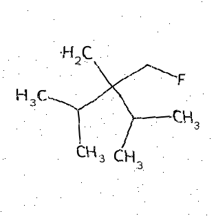 [CH2]C(CF)(C(C)C)C(C)C